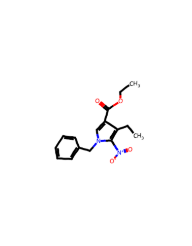 CCOC(=O)c1cn(Cc2ccccc2)c([N+](=O)[O-])c1CC